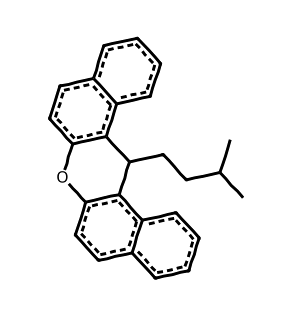 CC(C)CCC1c2c(ccc3ccccc23)Oc2ccc3ccccc3c21